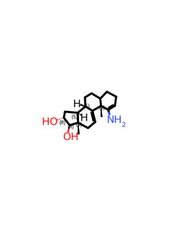 C[C@]12C(N)=CCCC1CC[C@@H]1C2=CC[C@]2(C)[C@@H](O)[C@H](O)C[C@@H]12